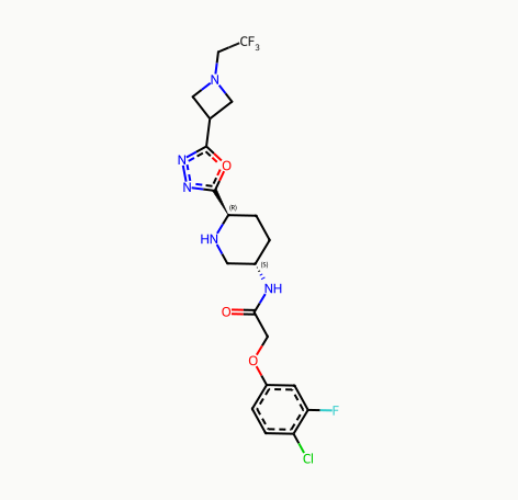 O=C(COc1ccc(Cl)c(F)c1)N[C@H]1CC[C@H](c2nnc(C3CN(CC(F)(F)F)C3)o2)NC1